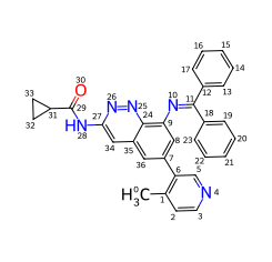 Cc1ccncc1-c1cc(N=C(c2ccccc2)c2ccccc2)c2nnc(NC(=O)C3CC3)cc2c1